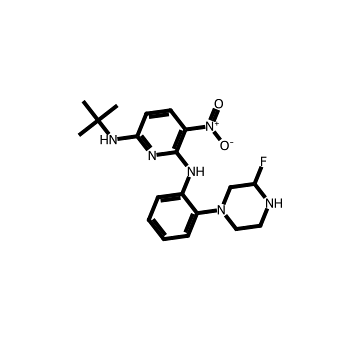 CC(C)(C)Nc1ccc([N+](=O)[O-])c(Nc2ccccc2N2CCNC(F)C2)n1